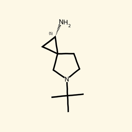 CC(C)(C)N1CCC2(C[C@@H]2N)C1